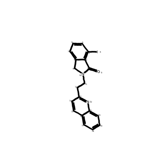 O=C1c2c(I)cccc2CN1CCc1ccc2ccccc2n1